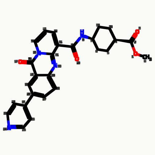 COC(=O)[C@H]1CC[C@@H](NC(=O)c2cccn3c(=O)c4cc(-c5ccncc5)ccc4nc23)CC1